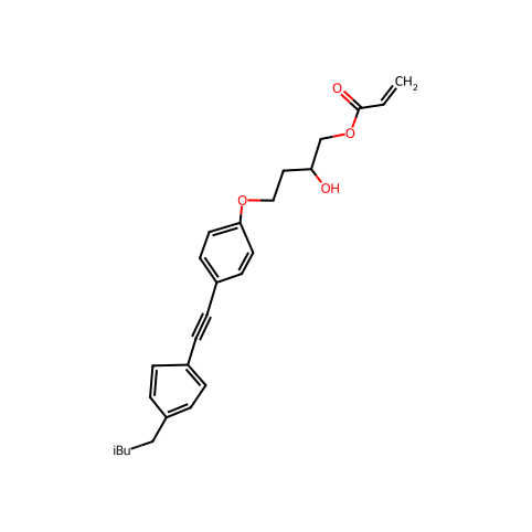 C=CC(=O)OCC(O)CCOc1ccc(C#Cc2ccc(CC(C)CC)cc2)cc1